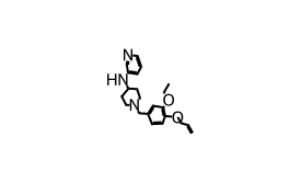 C=CCOc1ccc(CN2CCC(Nc3cccnc3)CC2)cc1OCC